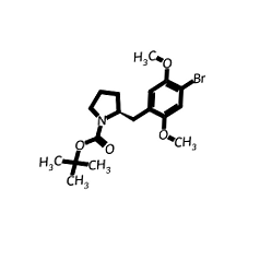 COc1cc(C[C@@H]2CCCN2C(=O)OC(C)(C)C)c(OC)cc1Br